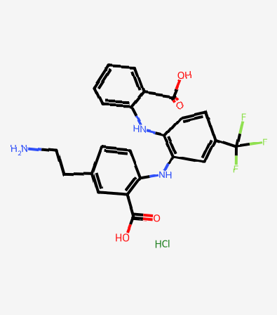 Cl.NCCc1ccc(Nc2cc(C(F)(F)F)ccc2Nc2ccccc2C(=O)O)c(C(=O)O)c1